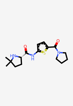 CC1(C)CC[C@@H](C(=O)Nc2ccc(C(=O)N3CCCC3)s2)N1